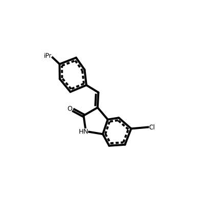 CC(C)c1ccc(/C=C2\C(=O)Nc3ccc(Cl)cc32)cc1